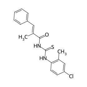 C/C(=C\c1ccccc1)C(=O)NC(=S)Nc1ccc(Cl)cc1C